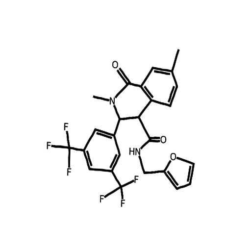 Cc1ccc2c(c1)C(=O)N(C)C(c1cc(C(F)(F)F)cc(C(F)(F)F)c1)C2C(=O)NCc1ccco1